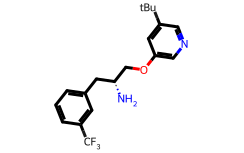 CC(C)(C)c1cncc(OC[C@H](N)Cc2cccc(C(F)(F)F)c2)c1